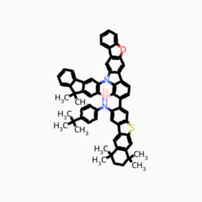 CC(C)(C)c1ccc(Nc2cc3c(cc2-c2ccc4c5cc6oc7ccccc7c6cc5n5c4c2Bc2cc4c(cc2-5)-c2ccccc2C4(C)C)sc2cc4c(cc23)C(C)(C)CCC4(C)C)cc1